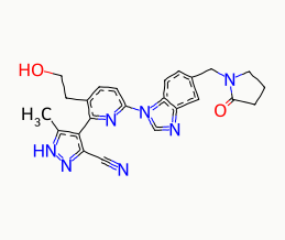 Cc1[nH]nc(C#N)c1-c1nc(-n2cnc3cc(CN4CCCC4=O)ccc32)ccc1CCO